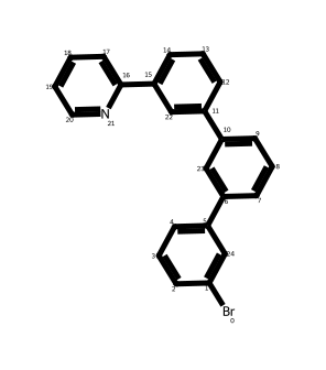 Brc1cccc(-c2cccc(-c3cccc(-c4ccccn4)c3)c2)c1